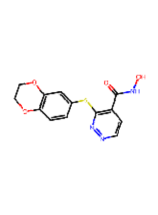 O=C(NO)c1ccnnc1Sc1ccc2c(c1)OCCO2